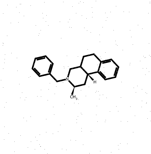 C[C@@H]1C[C@H]2c3ccccc3CCC2CN1Cc1ccccc1